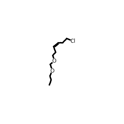 CCCOCOCC/C=C\CCCl